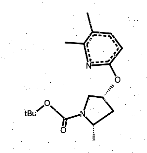 Cc1ccc(O[C@@H]2C[C@H](C)N(C(=O)OC(C)(C)C)C2)nc1C